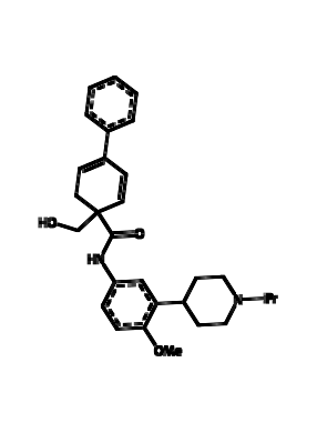 COc1ccc(NC(=O)C2(CO)C=CC(c3ccccc3)=CC2)cc1C1CCN(C(C)C)CC1